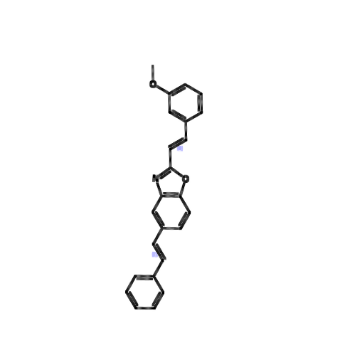 COc1cccc(/C=C/c2nc3cc(/C=C/c4ccccc4)ccc3o2)c1